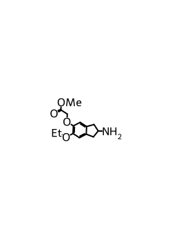 CCOc1cc2c(cc1OCC(=O)OC)CC(N)C2